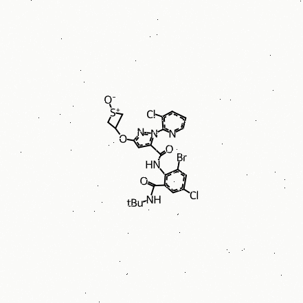 CC(C)(C)NC(=O)c1cc(Cl)cc(Br)c1NC(=O)c1cc(OC2C[S+]([O-])C2)nn1-c1ncccc1Cl